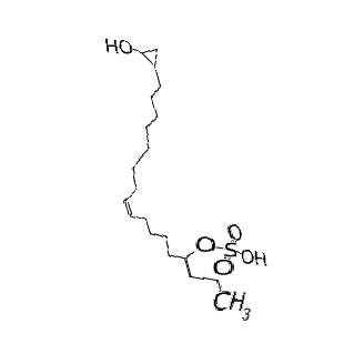 CCCC(CCCC/C=C\CCCCCCCC1CC1O)OS(=O)(=O)O